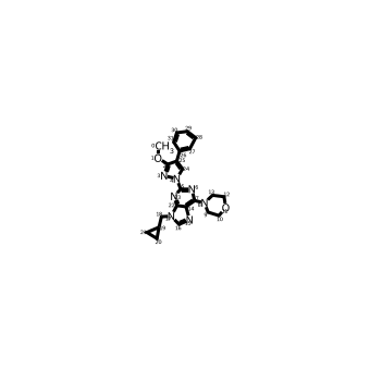 COc1nn(-c2nc(N3CCOCC3)c3ncn(CC4CC4)c3n2)cc1-c1ccccc1